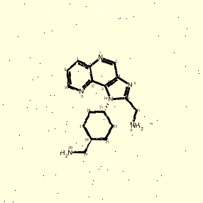 NCc1nc2cnc3cccnc3c2n1[C@H]1CC[C@H](CN)CC1